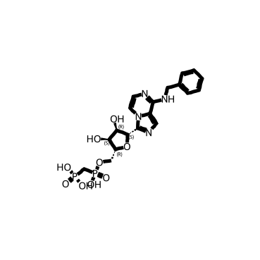 O=P(O)(O)CP(=O)(O)OC[C@H]1O[C@@H](c2ncc3c(NCc4ccccc4)nccn23)[C@H](O)[C@@H]1O